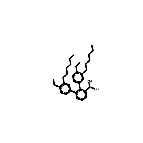 CCCCCCc1cc(-c2cccc(P(O)O)c2-c2ccc(CC)c(CCCCCC)c2)ccc1CC